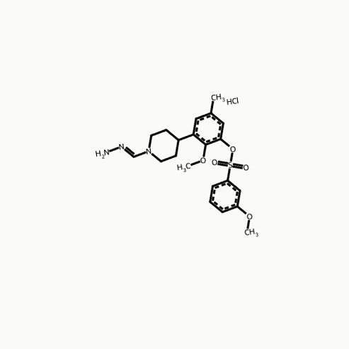 COc1cccc(S(=O)(=O)Oc2cc(C)cc(C3CCN(C=NN)CC3)c2OC)c1.Cl